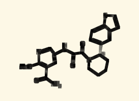 COc1ncc(NC(=O)C(=O)N2CCCC[C@H]2c2ccc3sccc3c2)cc1C(N)=O